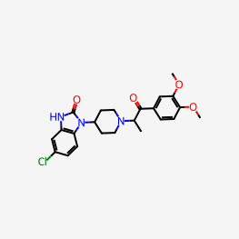 COc1ccc(C(=O)C(C)N2CCC(n3c(=O)[nH]c4cc(Cl)ccc43)CC2)cc1OC